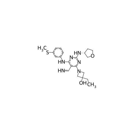 CCC1(O)CN(c2nc(N[C@@H]3CCOC3)nc(Nc3cccc(SC)c3)c2C=N)C1